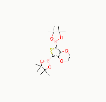 CC1(C)OB(c2sc(B3OC(C)(C)C(C)(C)O3)c3c2OCCO3)OC1(C)C